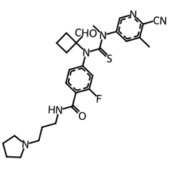 Cc1cc(N(C)C(=S)N(c2ccc(C(=O)NCCCN3CCCC3)c(F)c2)C2(C=O)CCC2)cnc1C#N